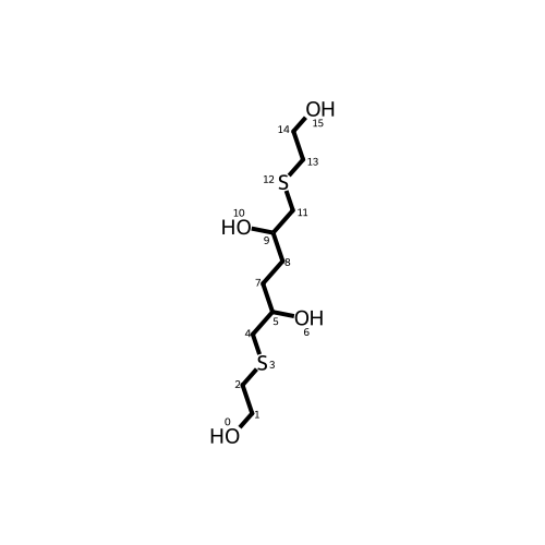 OCCSCC(O)CCC(O)CSCCO